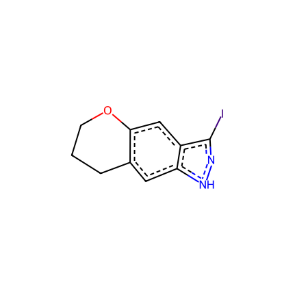 Ic1n[nH]c2cc3c(cc12)OCCC3